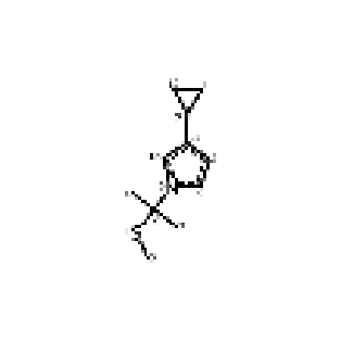 CSC(C)(C)n1ccc(C2CC2)c1